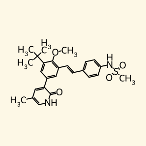 COc1c(C=Cc2ccc(NS(C)(=O)=O)cc2)cc(-c2cc(C)c[nH]c2=O)cc1C(C)(C)C